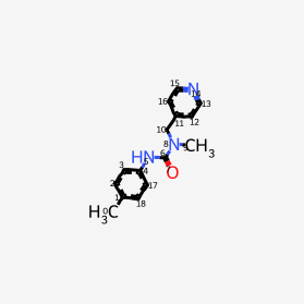 Cc1ccc(NC(=O)N(C)Cc2ccncc2)cc1